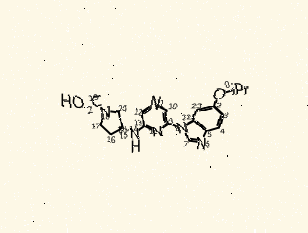 CC(C)Oc1ccc2ncn(-c3cncc(N[C@@H]4CCN(C(=O)O)C4)n3)c2c1